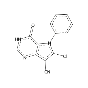 N#Cc1c(Cl)n(-c2ccccc2)c2c(=O)[nH]cnc12